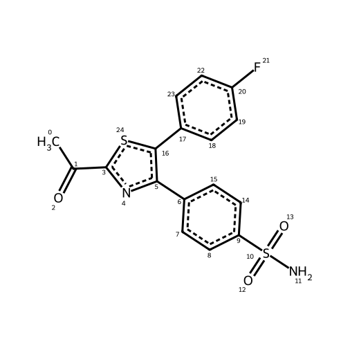 CC(=O)c1nc(-c2ccc(S(N)(=O)=O)cc2)c(-c2ccc(F)cc2)s1